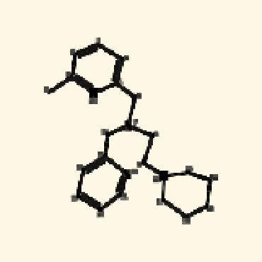 Cc1cccc(CN(CCN2CCCCC2)Cc2ccccn2)n1